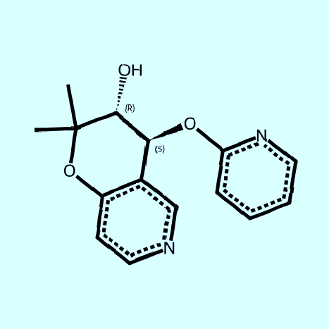 CC1(C)Oc2ccncc2[C@H](Oc2ccccn2)[C@H]1O